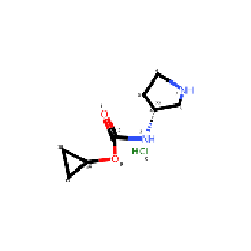 Cl.O=C(N[C@@H]1CCNC1)OC1CC1